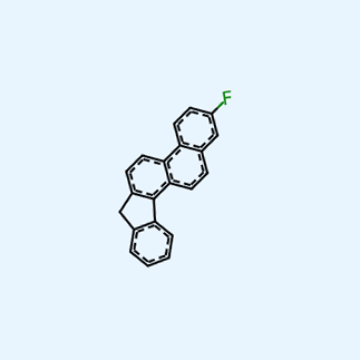 Fc1ccc2c(ccc3c4c(ccc32)Cc2ccccc2-4)c1